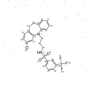 O=S(=O)(NCCCN1c2ccccc2CCc2ccc(Cl)cc21)c1cccc(C(F)(F)F)c1